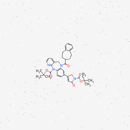 CC(C)(C)OC(=O)N1CC(c2ccc3c(c2)N(C(=O)C2CCc4ccccc4CC2)Cc2cccnc2N3C(=O)OC(C)(C)C)=CC1=O